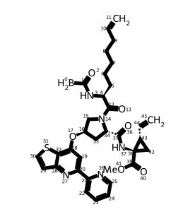 BC(=O)N[C@@H](CCCCCC=C)C(=O)N1C[C@H](Oc2cc(-c3ccccn3)nc3ccsc23)C[C@H]1C(=O)N[C@]1(C(=O)OC)C[C@H]1C=C